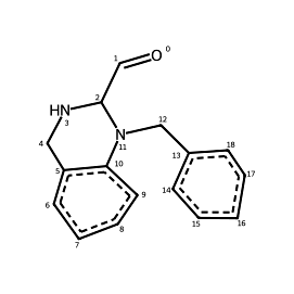 O=CC1NCc2ccccc2N1Cc1ccccc1